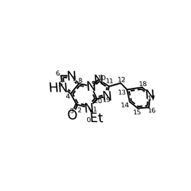 CCn1c(=O)c2[nH]cnc2n2nc(Cc3cccnc3)nc12